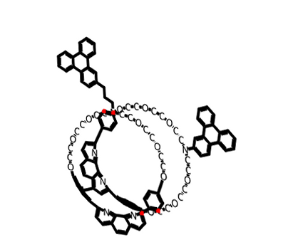 c1ccc2c(c1)c1ccccc1c1cc(CCCN3CCOCCOCCOc4ccc(cc4)-c4ccc5ccc6ccc(nc6c5n4)-c4ccc(cc4-c4cc5nc6c4ccc4ccc(nc46)-c4ccc(cc4)OCCOCCOCCN(c4ccc6c7ccccc7c7ccccc7c6c4)CCOCCOCCOc4ccc-5cc4)OCCOCCOCC3)ccc21